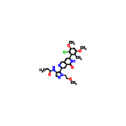 C=CC(=O)Nc1cnn(CCOC)c1-c1cc2c(=O)[nH]c(-c3c(C)c(OC)cc(OC)c3Cl)cc2cn1